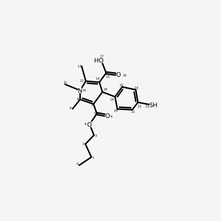 CCCCOC(=O)C1=C(C)N(C)C(C)=C(C(=O)O)C1c1ccc(S)cc1